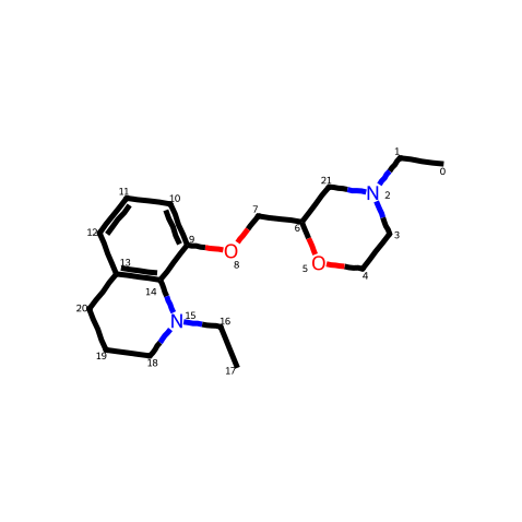 CCN1CCOC(COc2cccc3c2N(CC)CCC3)C1